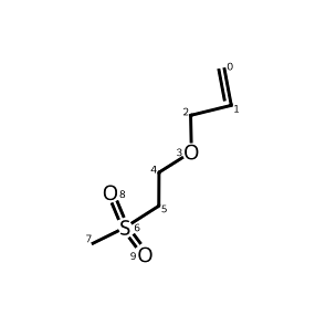 C=CCOCCS(C)(=O)=O